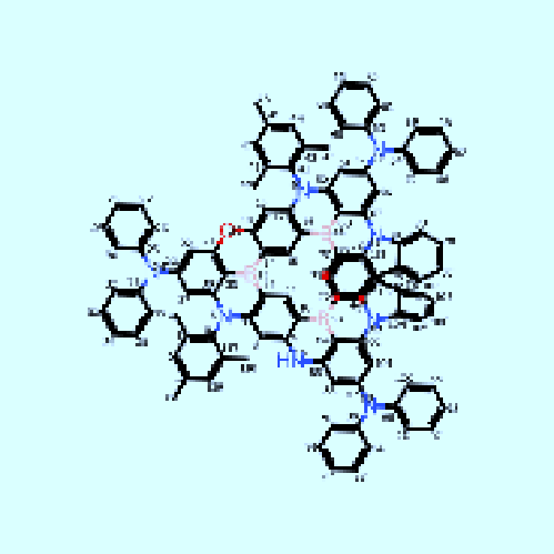 Cc1cc(C)c(N2c3cc4c(cc3B3c5cc6c(cc5Oc5cc(N(c7ccccc7)c7ccccc7)cc2c53)N(c2c(C)cc(C)cc2C)c2cc(N(c3ccccc3)c3ccccc3)cc3c2B6c2cccc5c6ccccc6n-3c25)B2c3c(cc(N(c5ccccc5)c5ccccc5)cc3-n3c5ccccc5c5cccc2c53)N4)c(C)c1